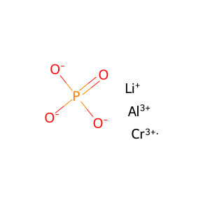 O=P([O-])([O-])[O-].[Al+3].[Cr+3].[Li+]